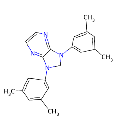 Cc1cc(C)cc(N2CN(c3cc(C)cc(C)c3)c3nccnc32)c1